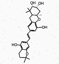 CC1(C)CCc2c(O)cc(/C=C/c3cc(O)c4c(c3)CC3C(C)(C)[C@H](O)[C@H](O)C[C@@]3(C)O4)cc2O1